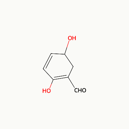 O=CC1=C(O)C=CC(O)C1